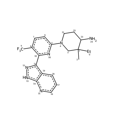 CCC1(C)CN(c2ccc(C(F)(F)F)c(-c3n[nH]c4ncccc34)n2)CCC1N